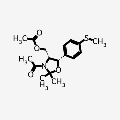 CSc1ccc([C@@H]2OC(C)(C)N(C(C)=O)[C@@H]2COC(C)=O)cc1